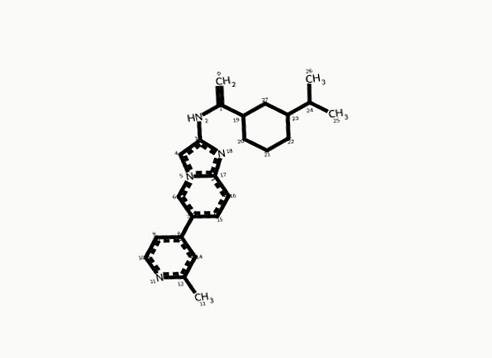 C=C(Nc1cn2cc(-c3ccnc(C)c3)ccc2n1)C1CCCC(C(C)C)C1